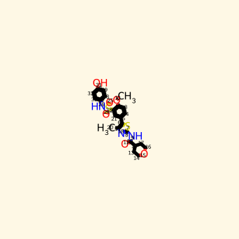 COc1ccc(-c2sc(NC(=O)C3CCOCC3)nc2C)cc1S(=O)(=O)Nc1ccc(O)cc1